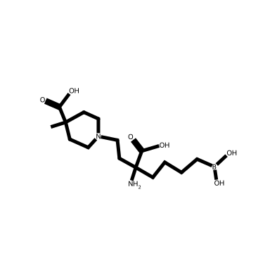 CC1(C(=O)O)CCN(CCC(N)(CCCCB(O)O)C(=O)O)CC1